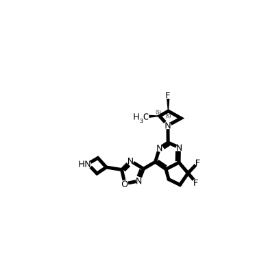 C[C@H]1[C@@H](F)CN1c1nc(-c2noc(C3CNC3)n2)c2c(n1)C(F)(F)CC2